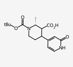 C[C@@H]1C(C(=O)O)C(c2cc[nH]c(=O)c2)CCN1C(=O)OC(C)(C)C